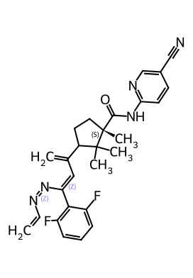 C=C/N=N\C(=C/C(=C)C1CC[C@](C)(C(=O)Nc2ccc(C#N)cn2)C1(C)C)c1c(F)cccc1F